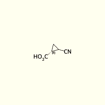 N#CC1C[C@H]1C(=O)O